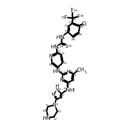 Cc1cc(Nc2cc(N3CCNCC3)n[nH]2)nc(Nc2ccc(NC(=S)Nc3ccc(Cl)c(C(F)(F)F)c3)nc2)n1